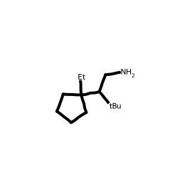 CCC1(C(CN)C(C)(C)C)CCCC1